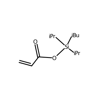 C=CC(=O)O[Si](C(C)C)(C(C)C)C(C)CC